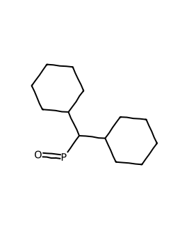 O=PC(C1CCCCC1)C1CCCCC1